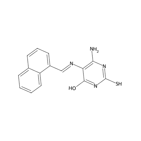 Nc1nc(S)nc(O)c1/N=C/c1cccc2ccccc12